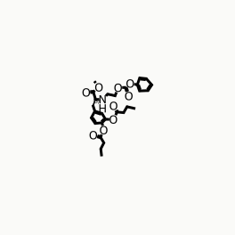 CCCC(=O)Oc1ccc(C[C@H](NCCOC(=O)Oc2ccccc2)C(=O)OC)cc1OC(=O)CCC